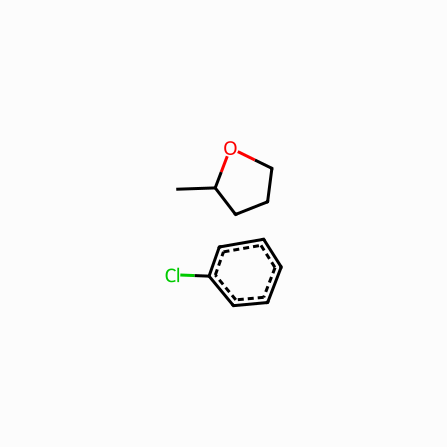 CC1CCCO1.Clc1ccccc1